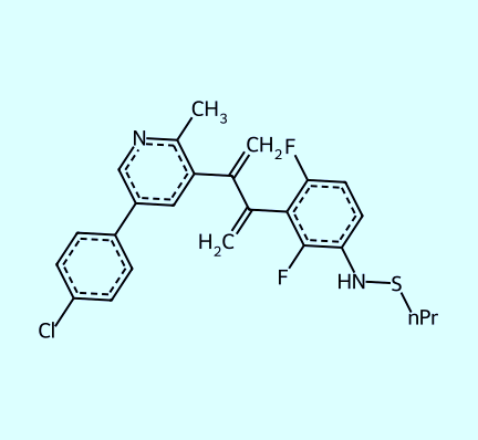 C=C(C(=C)c1c(F)ccc(NSCCC)c1F)c1cc(-c2ccc(Cl)cc2)cnc1C